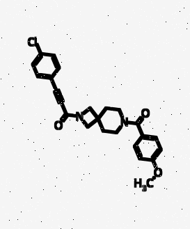 COc1ccc(C(=O)N2CCC3(CC2)CN(C(=O)C#Cc2ccc(Cl)cc2)C3)cc1